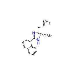 C=CCc1nc(-c2cccc3ccccc23)[nH]c1OC